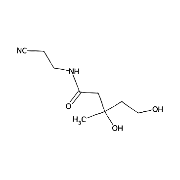 CC(O)(CCO)CC(=O)NCCC#N